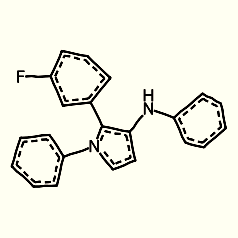 Fc1cccc(-c2c(Nc3ccccc3)ccn2-c2ccccc2)c1